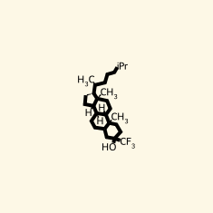 CC(C)CCC[C@@H](C)[C@H]1CC[C@H]2[C@@H]3CCC4CC(O)(C(F)(F)F)CC[C@]4(C)[C@H]3CC[C@]12C